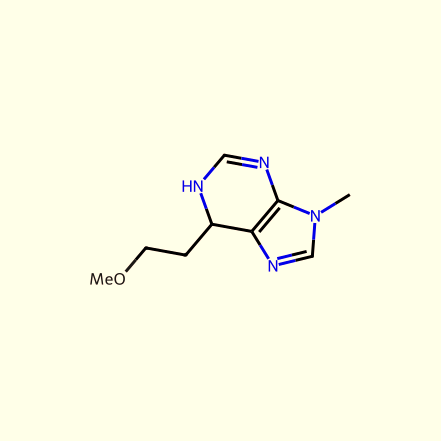 COCCC1NC=Nc2c1ncn2C